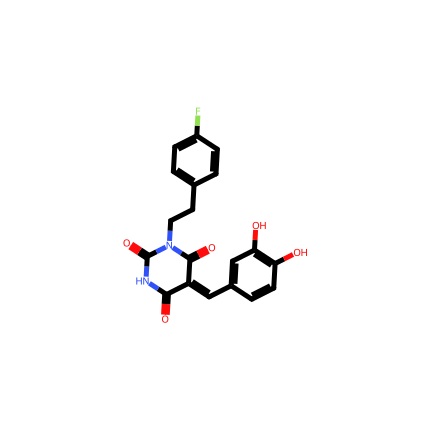 O=C1NC(=O)N(CCc2ccc(F)cc2)C(=O)/C1=C\c1ccc(O)c(O)c1